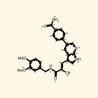 COc1ccc(CNC(=O)/C(C#N)=C/c2c[nH]c3ncc(-c4ccc(C(N)=O)cc4)cc23)cc1OC